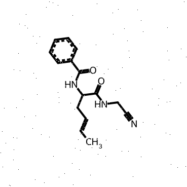 CC=CCC(NC(=O)c1ccccc1)C(=O)NCC#N